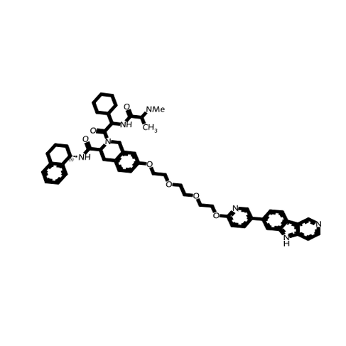 CNC(C)C(=O)NC(C(=O)N1Cc2cc(OCCOCCOCCOc3ccc(-c4ccc5c(c4)[nH]c4ccncc45)cn3)ccc2CC1C(=O)N[C@H]1CCCc2ccccc21)C1CCCCC1